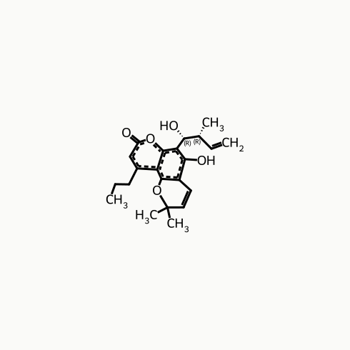 C=C[C@@H](C)[C@@H](O)c1c(O)c2c(c3c(CCC)cc(=O)oc13)OC(C)(C)C=C2